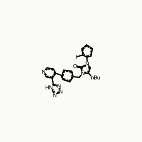 CCCCc1cn(-c2ccccc2I)c(=O)n1Cc1ccc(-c2ccncc2-c2nnn[nH]2)cc1